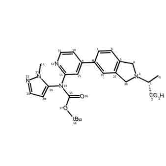 C[C@H](C(=O)O)N1Cc2ccc(-c3ccnc(N(C(=O)OC(C)(C)C)c4ccnn4C)c3)cc2C1